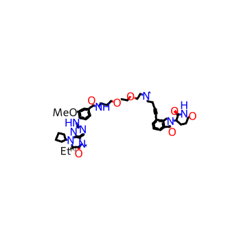 CC[C@@H]1C(=O)N(C)c2cnc(Nc3ccc(C(=O)NCCCOCCOCCN(C)CCC#Cc4cccc5c4CN(C4CCC(=O)NC4=O)C5=O)cc3OC)nc2N1C1CCCC1